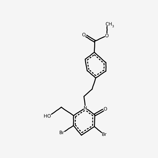 COC(=O)c1ccc(CCn2c(CO)c(Br)cc(Br)c2=O)cc1